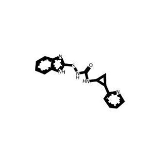 O=C(NSc1nc2ccccc2[nH]1)NC1CC1c1ccccn1